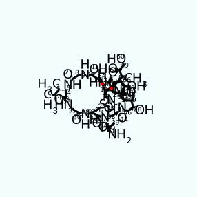 CCC(C)[C@@H]1NC(=O)CNC(=O)[C@@H]2Cc3c([nH]c4cc(O)ccc34)[S+]([O-])C[C@H](NC(=O)CNC1=O)C(=O)N[C@@H](CC(N)=O)C(=O)N1C[C@H](O)C[C@H]1C(=O)N[C@@H]([C@@H](C)C(O)CO)C(=O)N2